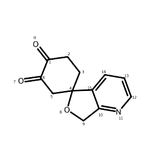 O=C1CCC2(CC1=O)OCc1ncccc12